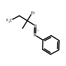 CCC(C)(CC(F)(F)F)/N=N/c1ccccc1